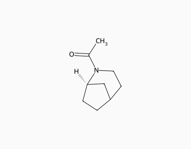 CC(=O)N1CCC2CC[C@@H]1C2